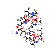 CC(C)CC(=O)O[C@@H](C)C(=O)N[C@H](C(=O)O[C@@H](C(=O)N[C@H](C(=O)O[C@@H](C)C(=O)N[C@H](C(=O)O[C@@H](C(=O)N[C@@H](C(=O)O[C@@H](C)C(=O)N[C@H](C(=O)O[C@@H](C(N)=O)C(C)C)C(C)C)C(C)C)C(C)C)C(C)C)C(C)C)C(C)C)C(C)C